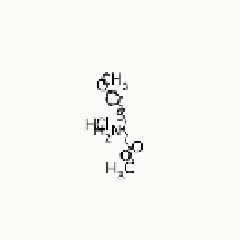 CCOC(=O)CC[C@@H](N)CSCc1ccc(OC)cc1.Cl